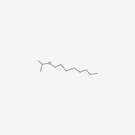 [CH2]C([CH2])OCCCCCCCC